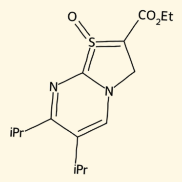 CCOC(=O)C1=S(=O)=C2N=C(C(C)C)C(C(C)C)=CN2C1